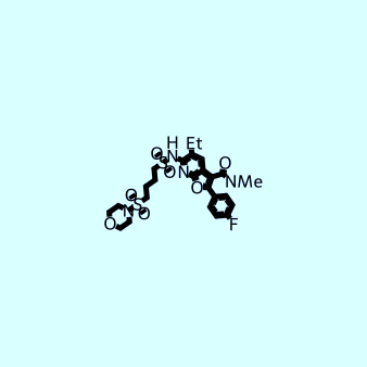 CCc1cc2c(C(=O)NC)c(-c3ccc(F)cc3)oc2nc1NS(=O)(=O)CCCCS(=O)(=O)N1CCOCC1